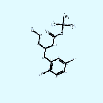 CC(C)(C)OC(=O)NC(CCCl)Cc1cc(F)ccc1F